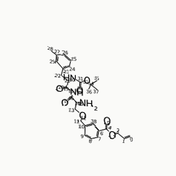 C=CCOC(=O)c1cccc(COCC(N)C(=O)NC(=O)C(Cc2cccc(C)c2)NC(=O)OC(C)(C)C)c1